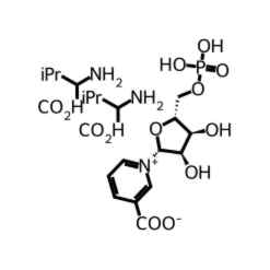 CC(C)C(N)C(=O)O.CC(C)C(N)C(=O)O.O=C([O-])c1ccc[n+]([C@@H]2O[C@H](COP(=O)(O)O)[C@@H](O)[C@H]2O)c1